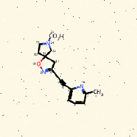 Cc1cccc(C#CC2=NOC3(CCN(C(=O)O)C3)C2)n1